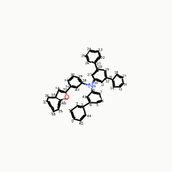 c1ccc(-c2cccc(N(c3cc(-c4ccccc4)cc(-c4ccccc4)c3)c3cccc(-c4cc5ccccc5o4)c3)c2)cc1